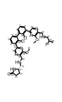 COc1nc(-c2cccc(-c3cccc(-c4cnc(CNC[C@@H]5CCC(=O)N5)c(OC)n4)c3Cl)c2Cl)cnc1CNCC(F)F